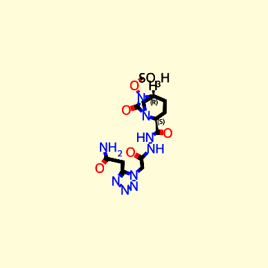 NC(=O)Cc1nnnn1CC(=O)NNC(=O)[C@@H]1CC[C@@H]2CN1C(=O)N2OS(=O)(=O)O